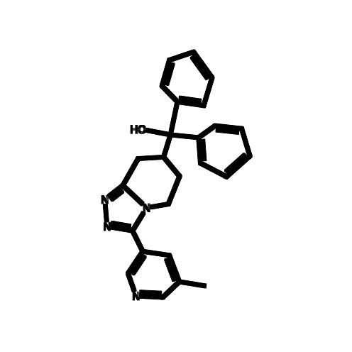 Cc1cncc(-c2nnc3n2CCC(C(O)(c2ccccc2)c2ccccc2)C3)c1